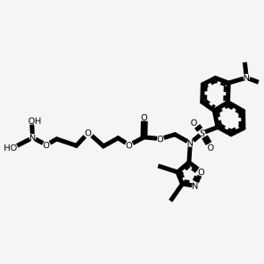 Cc1noc(N(COC(=O)OCCOCCON(O)O)S(=O)(=O)c2cccc3c(N(C)C)cccc23)c1C